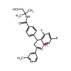 Cc1cc(/C(CC(c2ccc(C(=O)NC(C)(C)CO)cc2)c2ccc(F)cc2F)=N/O)ccn1